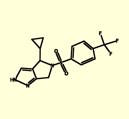 O=S(=O)(c1ccc(C(F)(F)F)cc1)N1Cc2n[nH]cc2C1C1CC1